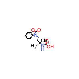 CC(C)(CCn1c(=O)oc2ccccc21)NC(=O)O